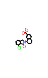 COC(=O)c1ccc2c(c1)[C@H](N1Cc3cccc(Cl)c3C1=O)CCC2